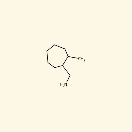 CC1CCCCCC1CN